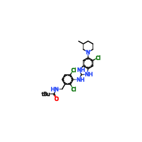 CC1CCCN(c2cc3c(cc2Cl)NC(Nc2c(Cl)ccc(CNC(=O)C(C)(C)C)c2Cl)N3)C1